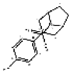 O=C(Cl)N1C2CCC1CC(c1ccc(F)cc1)C2